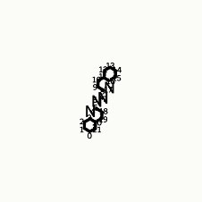 c1ccc2nc(N=Nc3ccc4ccccc4n3)ccc2c1